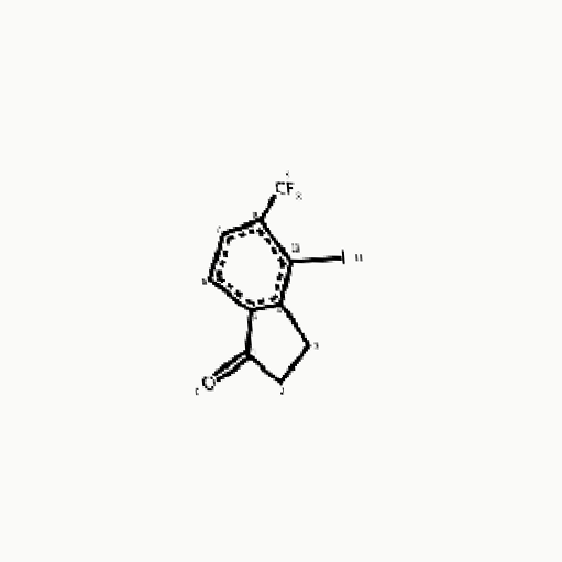 O=C1CCc2c1ccc(C(F)(F)F)c2I